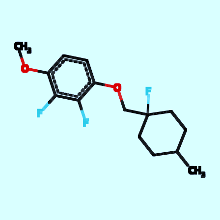 COc1ccc(OCC2(F)CCC(C)CC2)c(F)c1F